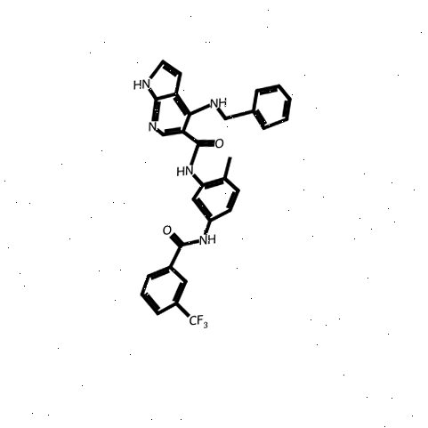 Cc1ccc(NC(=O)c2cccc(C(F)(F)F)c2)cc1NC(=O)c1cnc2[nH]ccc2c1NCc1ccccc1